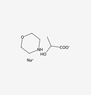 C1COCCN1.CC(O)C(=O)[O-].[Na+]